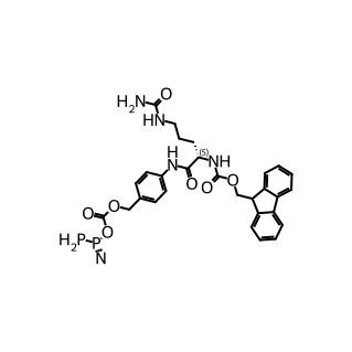 N#P(P)OC(=O)OCc1ccc(NC(=O)[C@H](CCCNC(N)=O)NC(=O)OCC2c3ccccc3-c3ccccc32)cc1